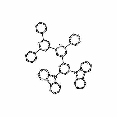 c1ccc(-c2cc(-c3cc(-c4cc(-n5c6ccccc6c6ccccc65)cc(-n5c6ccccc6c6ccccc65)c4)cc(-c4ccncc4)n3)cc(-c3ccccc3)n2)cc1